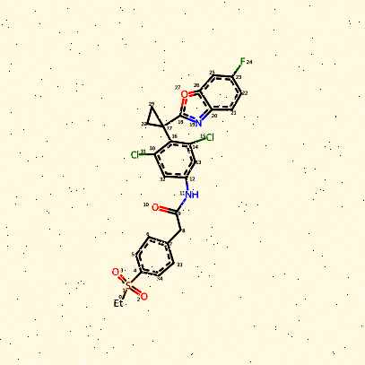 CCS(=O)(=O)c1ccc(CC(=O)Nc2cc(Cl)c(C3(c4nc5ccc(F)cc5o4)CC3)c(Cl)c2)cc1